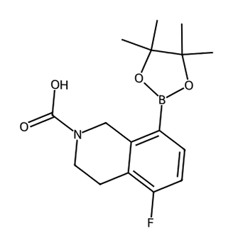 CC1(C)OB(c2ccc(F)c3c2CN(C(=O)O)CC3)OC1(C)C